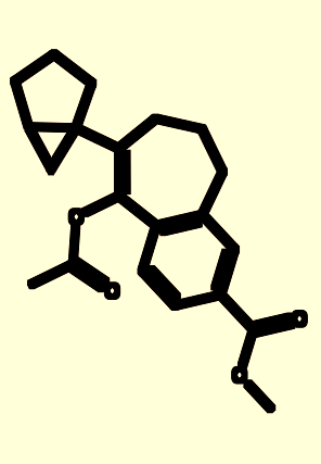 COC(=O)c1ccc2c(c1)CCCC(C13CCCC1C3)=C2OC(C)=O